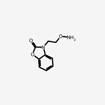 NOCCn1c(=O)oc2ccccc21